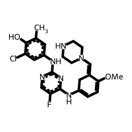 COC1=CC=C(Nc2nc(Nc3cc(C)c(O)c(Cl)c3)ncc2F)CC1=CN1CCNCC1